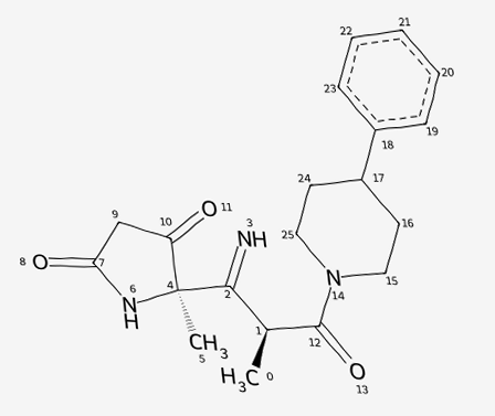 C[C@@H](C(=N)[C@@]1(C)NC(=O)CC1=O)C(=O)N1CCC(c2ccccc2)CC1